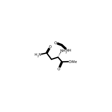 COC(=O)[C@@H](N)CC(N)=O.N=C=O